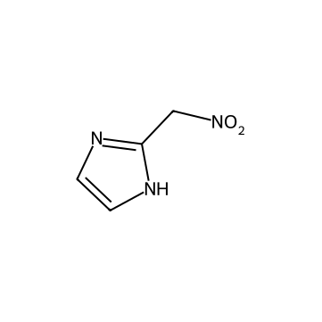 O=[N+]([O-])Cc1ncc[nH]1